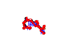 N=C1C=C(c2ccc3oc(-c4ccc(N(c5ccccc5)c5ccc(-c6cccc(-c7ccc(N(c8ccccc8)c8ccc(-c9nc%10ccccc%10o9)cc8)cc7)c6)cc5)cc4)nc3c2)C=C/C1=N/Nc1cccc(N(c2ccc(-c3ccc(N(c4cccc(-n5nc6ccccc6n5)c4)c4ccc5sc6ccccc6c5c4)cc3)cc2)c2ccc3sc4ccccc4c3c2)c1